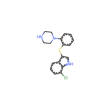 Clc1cccc2c(Sc3ccccc3N3CCNCC3)c[nH]c12